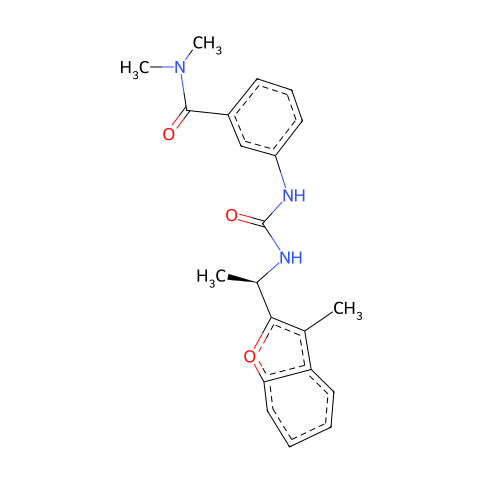 Cc1c([C@@H](C)NC(=O)Nc2cccc(C(=O)N(C)C)c2)oc2ccccc12